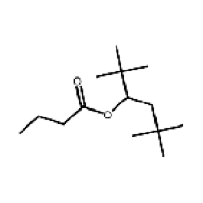 CCCC(=O)OC(CC(C)(C)C)C(C)(C)C